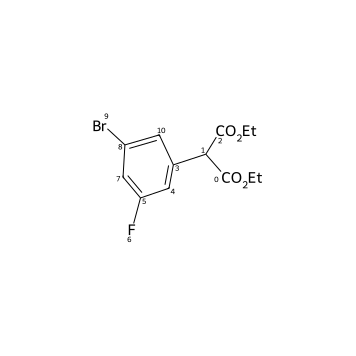 CCOC(=O)C(C(=O)OCC)c1cc(F)cc(Br)c1